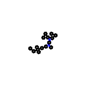 c1ccc(-c2cccc(-c3c4ccccc4c(-c4ccc(-c5ccc(N(c6ccccc6)c6ccc(-n7c8ccc(-c9ccccc9-c9ccccc9)cc8c8cc(-c9ccccc9-c9ccccc9)ccc87)cc6)cc5)cc4)c4ccccc34)c2)cc1